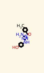 Cc1ccc(C(=O)n2nc(Nc3ccc(O)cc3)nc2N)cc1